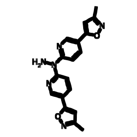 Cc1cc(-c2ccc(N(N)c3ccc(-c4cc(C)no4)cn3)nc2)on1